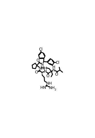 CCC(CC)(NC(=O)C(C)C)C(=O)N[C@@H](CCCNC(=N)N)C(=O)NC1(C(=O)NC(c2ccc(Cl)cc2)c2ccc(Cl)cc2)CCCC1